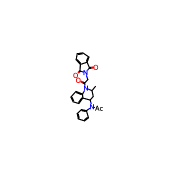 CC(=O)N(c1ccccc1)C1CC(C)N(C(=O)CN2C(=O)c3ccccc3C2=O)c2ccccc21